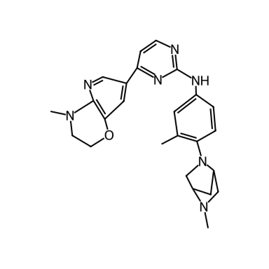 Cc1cc(Nc2nccc(-c3cnc4c(c3)OCCN4C)n2)ccc1N1CC2CC1CN2C